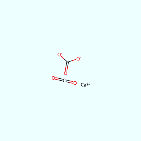 O=C([O-])[O-].O=C=O.[Ca+2]